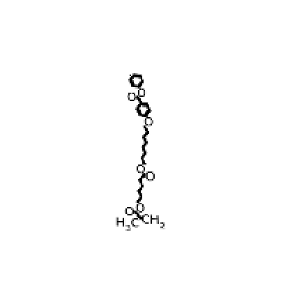 C=C(C)C(=O)OCCCCCC(=O)OCCCCCCCCOc1ccc(C(=O)Oc2cc[c]cc2)cc1